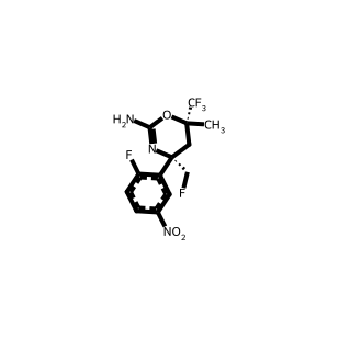 C[C@@]1(C(F)(F)F)C[C@@](CF)(c2cc([N+](=O)[O-])ccc2F)N=C(N)O1